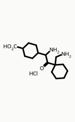 Cl.NCC1(C(=O)C(N)C2CCC(C(=O)O)CC2)CCCCC1